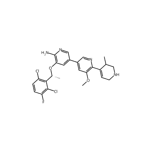 COc1cc(-c2cnc(N)c(O[C@H](C)c3c(Cl)ccc(F)c3Cl)c2)cnc1C1=CCNCC1C